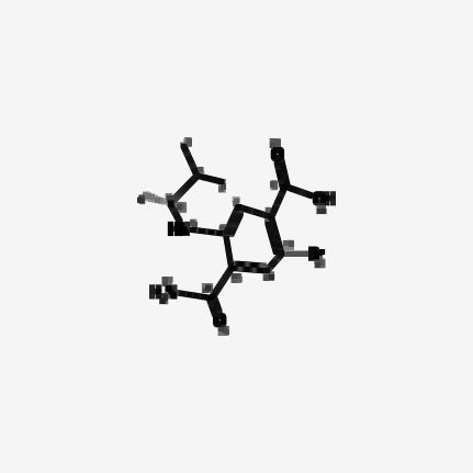 CC(C)[C@@H](C)Nc1cc(C(=O)O)c(Br)cc1C(N)=O